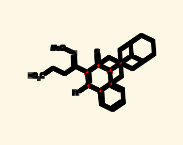 CCC1CC2CC(C1)CC(N1C3CCCC1CC(n1c(=O)c(/C(CCC(=O)O)=N/OC)nc4ccccc41)C3)C2